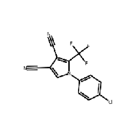 N#Cc1cn(-c2ccc(Cl)cc2)c(C(F)(F)F)c1C#N